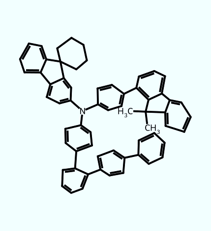 CC1(C)c2ccccc2-c2cccc(-c3ccc(N(c4ccc(-c5ccccc5-c5ccc(-c6ccccc6)cc5)cc4)c4ccc5c(c4)C4(CCCCC4)c4ccccc4-5)cc3)c21